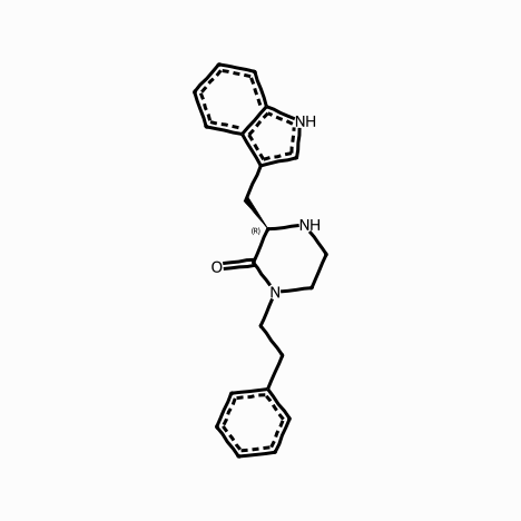 O=C1[C@@H](Cc2c[nH]c3ccccc23)NCCN1CCc1ccccc1